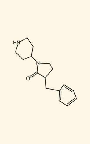 O=C1C(Cc2ccccc2)CCN1C1CCNCC1